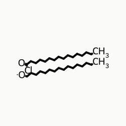 CCCCCCCCCCCCCCCC(=O)Cl.CCCCCCCCCCCCCCCC[O]